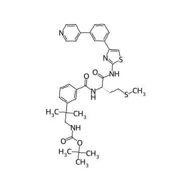 CSCC[C@H](NC(=O)c1cccc(C(C)(C)CNC(=O)OC(C)(C)C)c1)C(=O)Nc1nc(-c2cccc(-c3ccncc3)c2)cs1